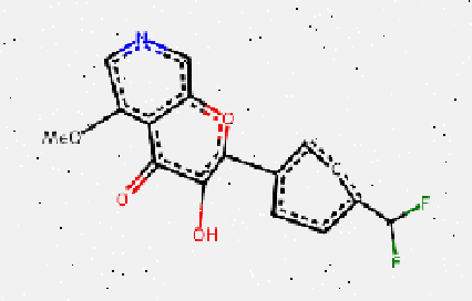 COc1cncc2oc(-c3ccc(C(F)F)cc3)c(O)c(=O)c12